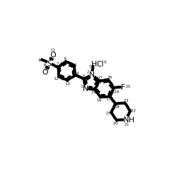 Cl.Cn1c(-c2ccc(S(C)(=O)=O)cc2)nc2cc(C3CCNCC3)c(F)cc21